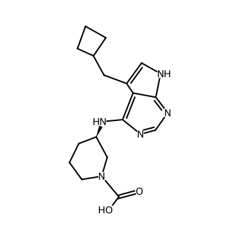 O=C(O)N1CCC[C@@H](Nc2ncnc3[nH]cc(CC4CCC4)c23)C1